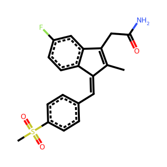 CC1=C(CC(N)=O)c2cc(F)ccc2/C1=C\c1ccc(S(C)(=O)=O)cc1